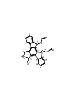 C=CCn1c2ccccc2c2c3c(c4c5ccccc5n(CC=C)c4c21)C(=O)NC3